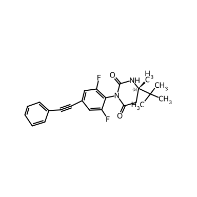 CC(C)(C)[C@]1(C)CC(=O)N(c2c(F)cc(C#Cc3ccccc3)cc2F)C(=O)N1